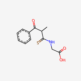 CC(C(=O)c1ccccc1)C(=S)NCC(=O)O